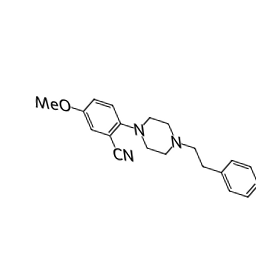 COc1ccc(N2CCN(CCc3ccccc3)CC2)c(C#N)c1